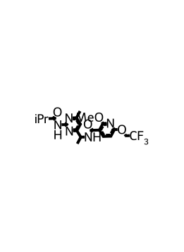 COc1nc(OCC(F)(F)F)ccc1C(=O)NC(C)c1cc(C)nc(NC(=O)C(C)C)n1